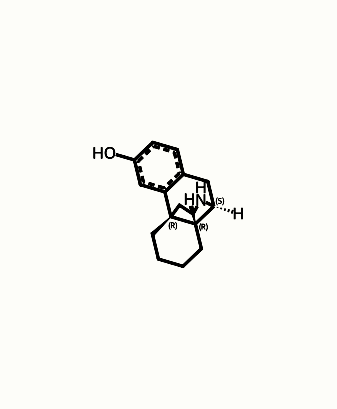 Oc1ccc2c(c1)[C@@]13CCCC[C@H]1[C@H](C2)NCC3